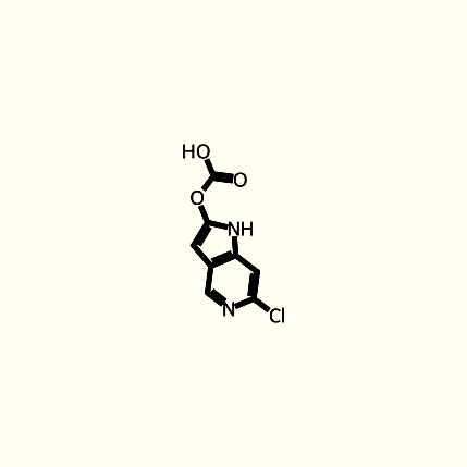 O=C(O)Oc1cc2cnc(Cl)cc2[nH]1